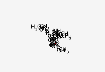 CC(C)c1ccccc1[C@H]1CCCN1C1CC2(CCN(c3ccc(C(=O)NS(=O)(=O)c4cc5c(c([N+](=O)[O-])c4)N[C@@H](C4CCC(C)(O)CC4)CO5)c(Oc4cc5cc[nH]c5nc4OC[C@H]4COCCN4C(=O)OC(C)(C)C)c3)CC2)C1